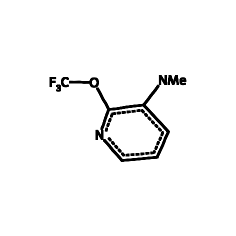 CNc1cccnc1OC(F)(F)F